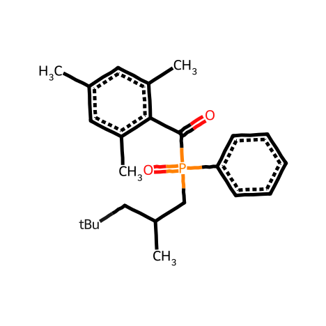 Cc1cc(C)c(C(=O)P(=O)(CC(C)CC(C)(C)C)c2ccccc2)c(C)c1